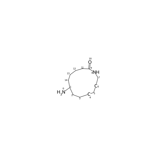 NC1CCCCCCNC(=O)CCCC1